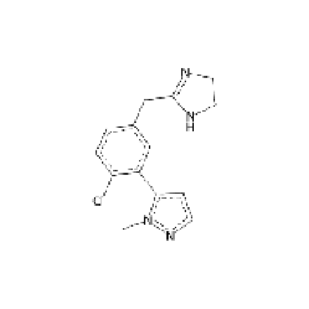 Cn1nccc1-c1cc(CC2=NCCN2)ccc1Cl